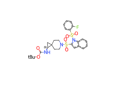 CC(C)(C)OC(=O)N[C@H]1CC12CCN(S(=O)(=O)c1cc3ccccc3n1S(=O)(=O)c1ccccc1F)CC2